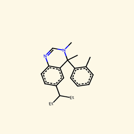 CCC(CC)c1ccc2c(c1)C(C)(c1ccccc1C)N(C)C=N2